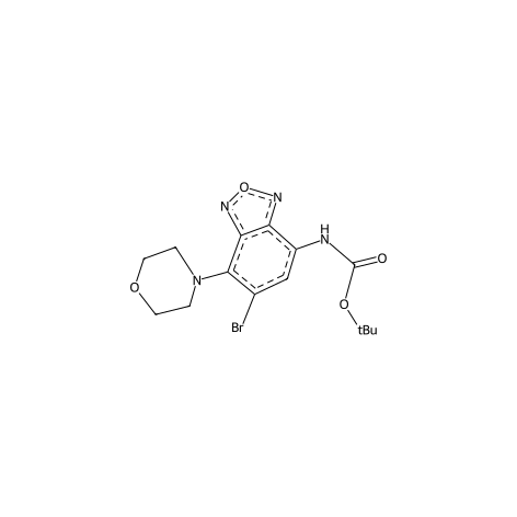 CC(C)(C)OC(=O)Nc1cc(Br)c(N2CCOCC2)c2nonc12